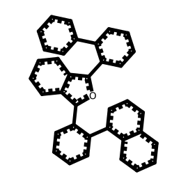 c1ccc(-c2ccccc2-c2oc(-c3ccccc3-c3cccc4ccccc34)c3ccccc23)cc1